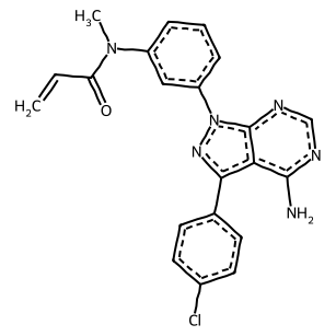 C=CC(=O)N(C)c1cccc(-n2nc(-c3ccc(Cl)cc3)c3c(N)ncnc32)c1